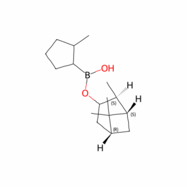 CC1CCCC1B(O)OC1C[C@H]2C[C@@H]([C@@H]1C)C2(C)C